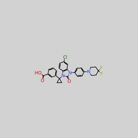 O=C(O)c1cccc(C2(n3c(=O)n(-c4ccc(N5CCC(F)(F)CC5)cc4)c4cc(Cl)ccc43)CC2)c1